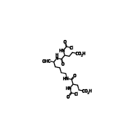 O=CC(CCCCNC(=O)C(CCC(=O)O)NC(=O)Cl)NC(=O)C(CCC(=O)O)NC(=O)Cl